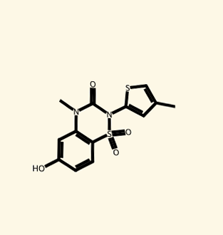 Cc1csc(N2C(=O)N(C)c3cc(O)ccc3S2(=O)=O)c1